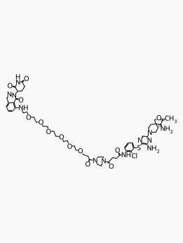 C[C@@H]1OCC2(CCN(c3cnc(Sc4cccc(NC(=O)CCC(=O)N5CCN(C(=O)CCOCCOCCOCCOCCOCCOCCNc6cccc7cnn(C8CCC(=O)NC8=O)c(=O)c67)CC5)c4Cl)c(N)n3)CC2)[C@@H]1N